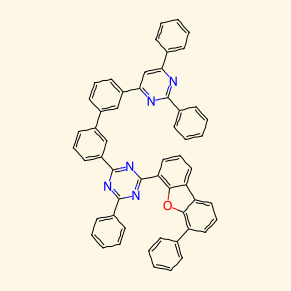 c1ccc(-c2cc(-c3cccc(-c4cccc(-c5nc(-c6ccccc6)nc(-c6cccc7c6oc6c(-c8ccccc8)cccc67)n5)c4)c3)nc(-c3ccccc3)n2)cc1